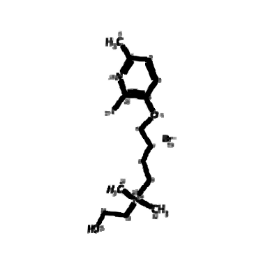 Cc1ccc(OCCCC[N+](C)(C)CCO)c(I)n1.[Br-]